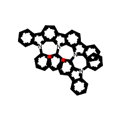 c1ccc(-n2c3ccccc3c3cccc(-n4c5ccccc5c5ccc6c7ccc8c9ccccc9n(-c9ccccc9)c8c7n(-c7ccccc7)c6c54)c32)cc1